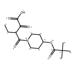 CCC(C(=O)C(=O)O)C(=O)N1CCC(OC(=O)C(C)(C)C)CC1